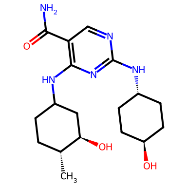 C[C@@H]1CCC(Nc2nc(N[C@H]3CC[C@H](O)CC3)ncc2C(N)=O)C[C@H]1O